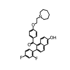 O=C(c1ccc(OCCN2CCCCCC2)cc1)c1c(-c2ccc(F)cc2F)ccc2cc(O)ccc12